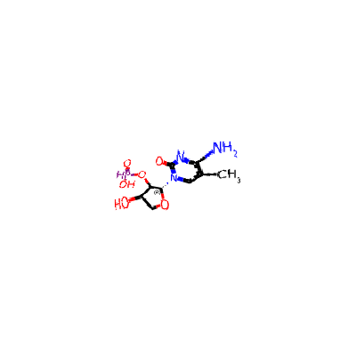 Cc1cn([C@@H]2OCC(O)C2O[PH](=O)O)c(=O)nc1N